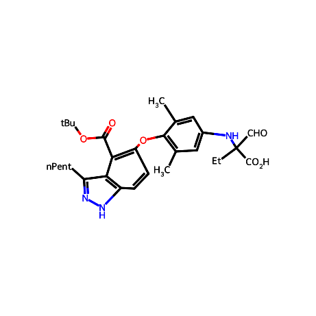 CCCCCc1n[nH]c2ccc(Oc3c(C)cc(NC(C=O)(CC)C(=O)O)cc3C)c(C(=O)OC(C)(C)C)c12